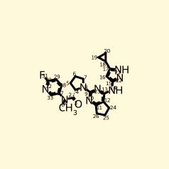 CN(C(=O)[C@@H]1CCCN1c1nc2c(c(Nc3cc(C4CC4)[nH]n3)n1)CCC2)c1ccc(F)nc1